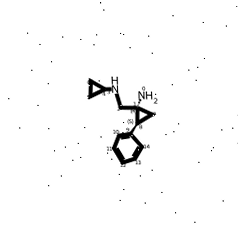 N[C@]1(CNC2CC2)C[C@H]1c1ccccc1